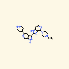 CN1CCN(c2nccc3[nH]c(-c4n[nH]c5cnc(C6=CCNCC6)cc45)nc23)CC1